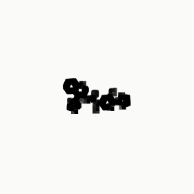 O=C(Nc1cnc(-n2nccn2)c(Cl)c1)Nc1cnc2ccccc2c1-c1cncs1